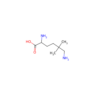 CC(C)(CN)CCC(N)C(=O)O